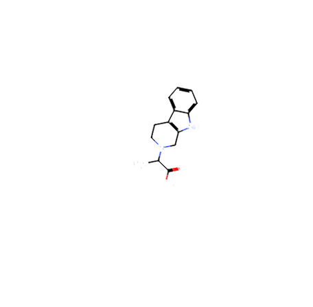 CC(C(=O)O)N1CCc2c([nH]c3ccccc23)C1